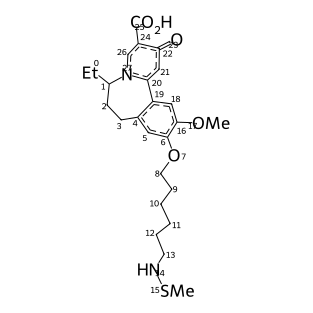 CCC1CCc2cc(OCCCCCCNSC)c(OC)cc2-c2cc(=O)c(C(=O)O)cn21